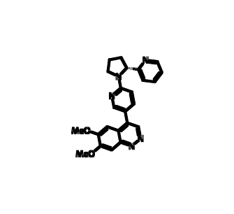 COc1cc2nncc(-c3ccc(N4CCC[C@@H]4c4ccccn4)nc3)c2cc1OC